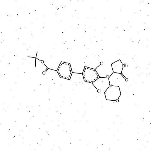 CC(C)(C)OC(=O)c1ccc(-c2cc(Cl)c([C@@H](C3CCNC3=O)N3CCOCC3)c(Cl)c2)cc1